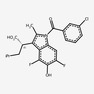 Cc1c([C@H](CC(C)C)C(=O)O)c2c(F)c(O)c(F)cc2n1C(=O)c1cccc(Cl)c1